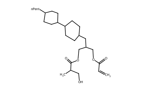 C=CC(=O)OCC(COC(=O)C(C)CO)CC1CCC(C2CCC(CCCCC)CC2)CC1